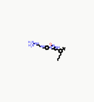 CCCCCc1cc(-c2cc3cn(-c4ccc(CNCCCNC(N)N)cc4)c(=O)nc3[nH]2)cc(C(C)(C)C)c1